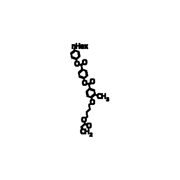 C=CC(=O)OCCCCOc1ccc(C(=O)Oc2ccc(C(=O)Oc3ccc(CCCCCC)cc3)cc2)cc1C